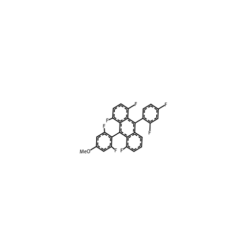 COc1cc(F)c(-c2c3c(F)cccc3c(-c3ccc(F)cc3F)c3c(F)ccc(F)c23)c(F)c1